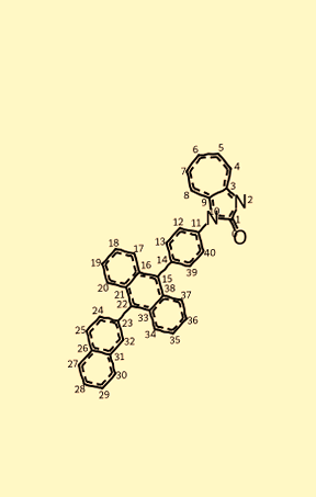 O=c1nc2cccccc-2n1-c1ccc(-c2c3ccccc3c(-c3ccc4ccccc4c3)c3ccccc23)cc1